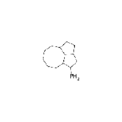 PC1CC2CCC3CCCCCC1C32